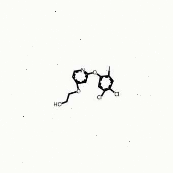 OCCOc1ccnc(Oc2cc(Cl)c(Cl)cc2I)c1